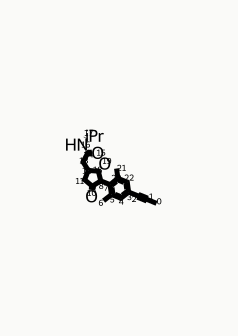 CC#Cc1cc(C)c(C2C(=O)CC(CC(=O)NC(C)C)C2=O)c(C)c1